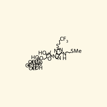 CSCCNc1nc(SCCC(F)(F)F)nc2c1ncn2[C@@H]1OC(COP(=O)(O)OP(=O)(O)C(Cl)(Cl)P(=O)(O)O)[C@@H](O)[C@H]1C